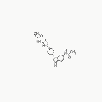 CCC(=O)Nc1nc(N2CCC(c3c[nH]c4ccc(NC(C)=O)cc34)CC2)cs1